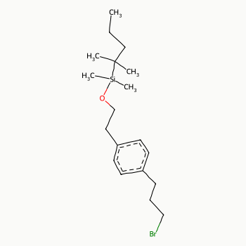 CCCC(C)(C)[Si](C)(C)OCCc1ccc(CCCBr)cc1